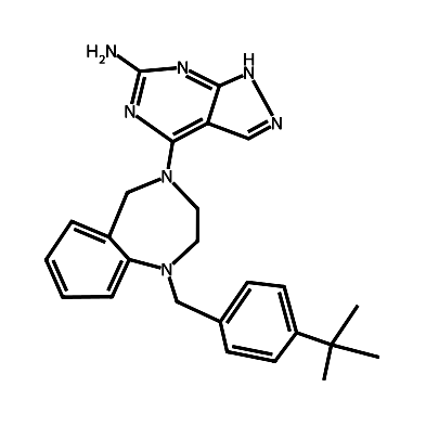 CC(C)(C)c1ccc(CN2CCN(c3nc(N)nc4[nH]ncc34)Cc3ccccc32)cc1